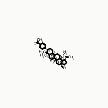 CC(=O)c1ccc([C@H]2CC[C@]3(C)[C@H]4CC[C@@H]5[C@H]6[C@H](C(C)C)CC[C@]6(C=O)CC[C@@]5(C)[C@]4(C)CC[C@H]3C2(C)C)cc1